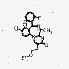 CCOCCc1cn2c(nc1=O)[C@H](C)N=C(c1c(F)cccc1F)c1c-2ccc(Cl)c1Cl